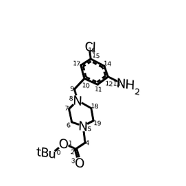 CC(C)(C)OC(=O)CN1CCN(Cc2cc(N)cc(Cl)c2)CC1